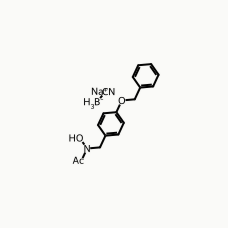 CC(=O)N(O)Cc1ccc(OCc2ccccc2)cc1.[BH3-]C#N.[Na+]